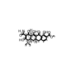 COC(=O)c1ccc2c(c1O)C(=O)C1=C(O)[C@]3(O)C(=O)C(C(N)=O)=C(O)[C@@H](N(C)C)[C@@H]3C[C@@H]1C2